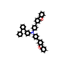 c1ccc(-c2ccccc2-c2cccc(N(c3ccc(-c4ccc5c(c4)oc4ccccc45)cc3)c3ccc(-c4ccc5c(c4)oc4ccccc45)cc3)c2)cc1